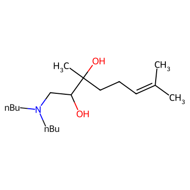 CCCCN(CCCC)CC(O)C(C)(O)CCC=C(C)C